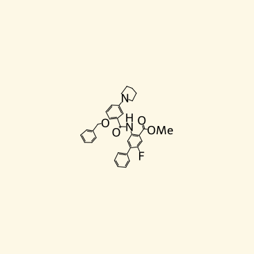 COC(=O)c1cc(F)c(-c2ccccc2)cc1NC(=O)c1cc(N2CCCCC2)ccc1OCc1ccccc1